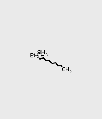 C=CCCCCCCC[SiH]([SiH3])CC